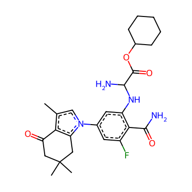 Cc1cn(-c2cc(F)c(C(N)=O)c(NC(N)C(=O)OC3CCCCC3)c2)c2c1C(=O)CC(C)(C)C2